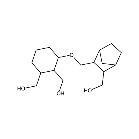 OCC1CCCC(OCC2C3CCC(C3)C2CO)C1CO